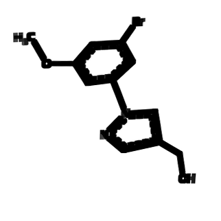 COc1cc(Br)cc(-n2cc(CO)cn2)c1